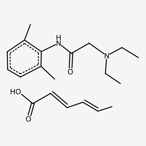 C/C=C/C=C/C(=O)O.CCN(CC)CC(=O)Nc1c(C)cccc1C